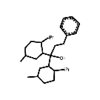 CC1CCC(C(C)C)C(C(O)(CCc2ccccc2)C2CC(C)CCC2C(C)C)C1